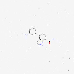 CC(=O)CNc1cccc(-c2ccc(C(N)=O)c3[nH]ccc23)c1